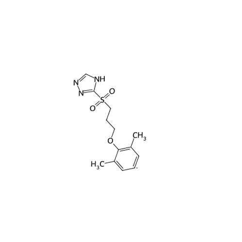 Cc1c[c]cc(C)c1OCCCS(=O)(=O)c1nnc[nH]1